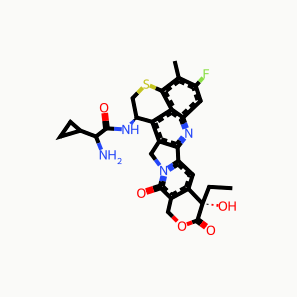 CC[C@@]1(O)C(=O)OCc2c1cc1n(c2=O)Cc2c-1nc1cc(F)c(C)c3c1c2[C@@H](NC(=O)C(N)C1CC1)CS3